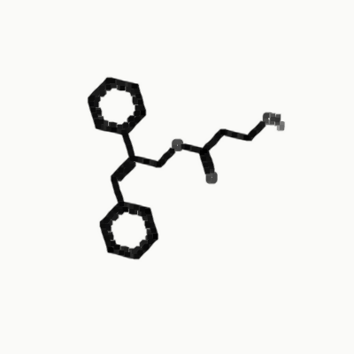 CCCC(=O)OCC(=Cc1ccccc1)c1ccccc1